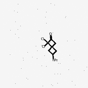 CCCC1CC2(CC(=O)C2(Cl)Cl)C1